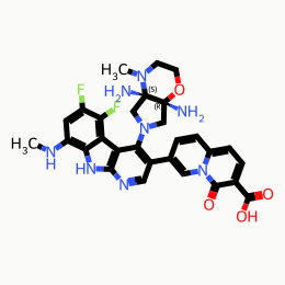 CNc1cc(F)c(F)c2c1[nH]c1ncc(-c3ccc4ccc(C(=O)O)c(=O)n4c3)c(N3C[C@@]4(N)OCCN(C)[C@@]4(N)C3)c12